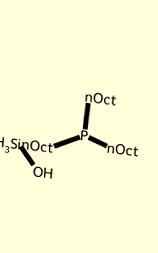 CCCCCCCCP(CCCCCCCC)CCCCCCCC.O[SiH3]